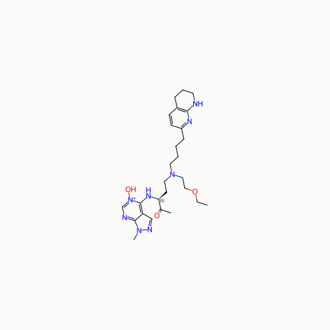 CCOCCN(CCCCc1ccc2c(n1)NCCC2)CC[C@H](Nc1c2cnn(C)c2nc[n+]1O)C(C)=O